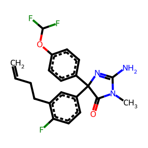 C=CCCc1cc(C2(c3ccc(OC(F)F)cc3)N=C(N)N(C)C2=O)ccc1F